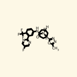 Cc1nnc([C@]23CCCC[C@H](C2)N3C(=O)Nc2ccc(C(F)(F)F)c(-c3ncc(F)cn3)c2)o1